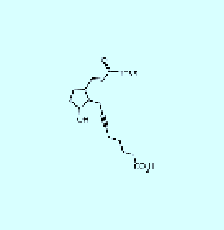 CCCCCCC(=O)/C=C/C1CCC(O)C1CC#CCCCCC(=O)O